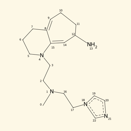 CN(CCN1CCCC2=CCCC(N)C=C21)CCn1ccnc1